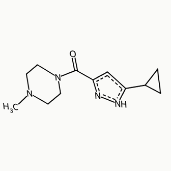 CN1CCN(C(=O)c2cc(C3CC3)[nH]n2)CC1